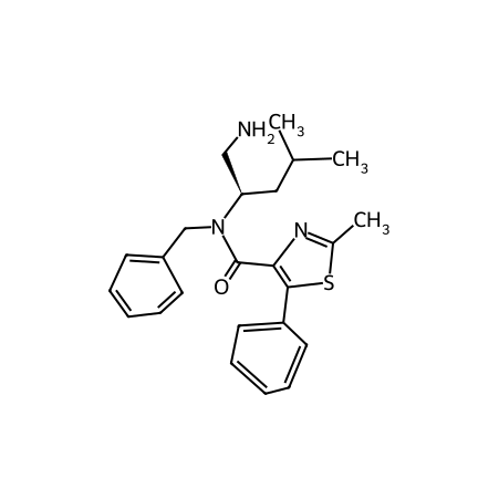 Cc1nc(C(=O)N(Cc2ccccc2)[C@@H](CN)CC(C)C)c(-c2ccccc2)s1